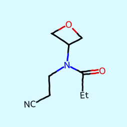 CCC(=O)N(CCC#N)C1COC1